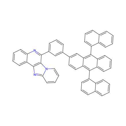 c1cc(-c2ccc3c(-c4cccc5ccccc45)c4ccccc4c(-c4cccc5ccccc45)c3c2)cc(-c2nc3ccccc3c3nc4ccccn4c23)c1